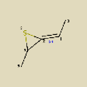 C/C=C1\SC1C